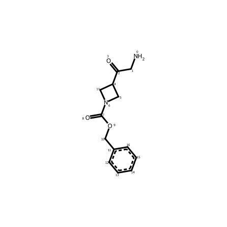 NCC(=O)C1CN(C(=O)OCc2ccccc2)C1